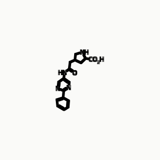 O=C(CC1CNC(C(=O)O)C1)Nc1cnc(-c2ccccc2)nc1